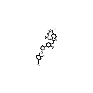 COCC1(Cn2c(Cc3ccc(-c4cccc(OCc5ccc(C#N)cc5F)n4)cc3F)nc3ccc(C(O)O)cc32)CC1